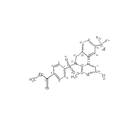 COC(=O)c1ccc(S(=O)(=O)N(Cc2ccc(C(F)(F)F)cc2)c2ncc(Cl)cc2C)cc1